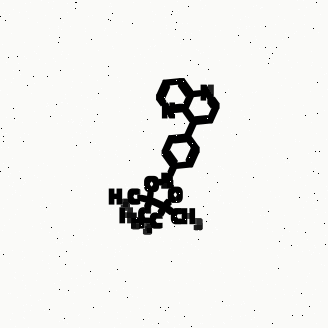 CC1(C)OB(c2ccc(-c3ccnc4cccnc34)cc2)OC1(C)C